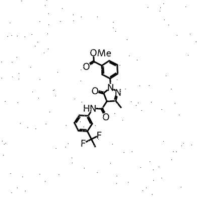 COC(=O)c1cccc(N2N=C(C)C(C(=O)Nc3cccc(C(C)(F)F)c3)C2=O)c1